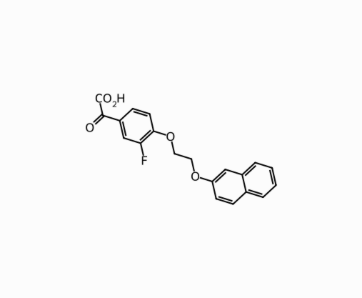 O=C(O)C(=O)c1ccc(OCCOc2ccc3ccccc3c2)c(F)c1